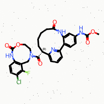 COC(=O)Nc1ccc2c(c1)NC(=O)CCCC[C@@H](C(=O)N1CCOC(=O)Nc3ccc(Cl)c(F)c3C1)c1cccc-2n1